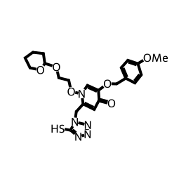 COc1ccc(COc2cn(OCCOC3CCCCO3)c(Cn3nnnc3S)cc2=O)cc1